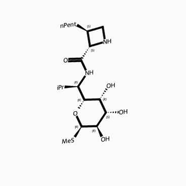 CCCCC[C@H]1CN[C@@H]1C(=O)N[C@H](C(C)C)[C@H]1O[C@H](SC)[C@H](O)[C@@H](O)[C@H]1O